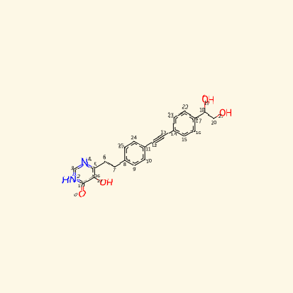 O=c1[nH]cnc(CCc2ccc(C#Cc3ccc(C(O)CO)cc3)cc2)c1O